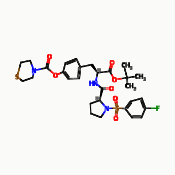 CC(C)(C)OC(=O)[C@H](Cc1ccc(OC(=O)N2CCSCC2)cc1)NC(=O)[C@@H]1CCCN1S(=O)(=O)c1ccc(F)cc1